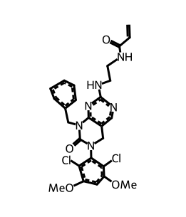 C=CC(=O)NCCNc1ncc2c(n1)N(Cc1ccccc1)C(=O)N(c1c(Cl)c(OC)cc(OC)c1Cl)C2